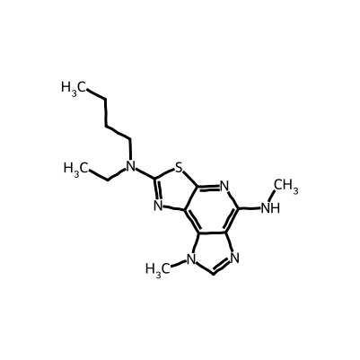 CCCCN(CC)c1nc2c(nc(NC)c3ncn(C)c32)s1